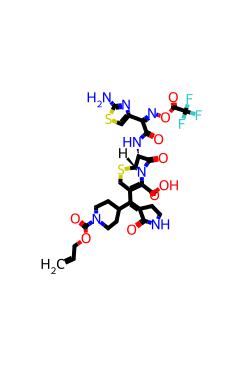 C=CCOC(=O)N1CCC(/C(C2=C(C(=O)O)N3C(=O)[C@@H](NC(=O)/C(=N\OC(=O)C(F)(F)F)c4csc(N)n4)[C@H]3SC2)=C2/CCNC2=O)CC1